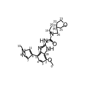 COc1ccc(-c2cnn(C)c2)c2nc(NC(=O)N3CC[C@@]4(CCOC4)C3)[nH]c12